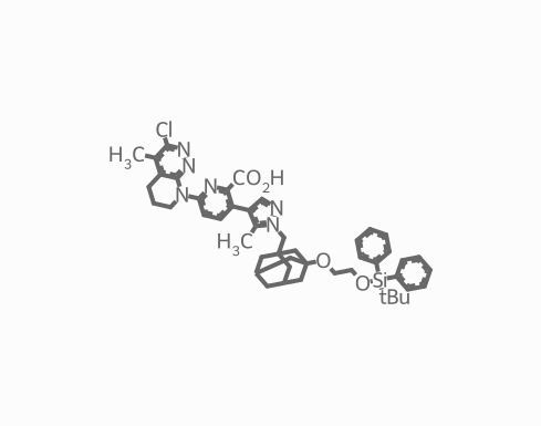 Cc1c(Cl)nnc2c1CCCN2c1ccc(-c2cnn(CC34CC5CC(C3)CC(OCCO[Si](c3ccccc3)(c3ccccc3)C(C)(C)C)(C5)C4)c2C)c(C(=O)O)n1